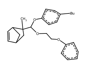 CCC(C)c1ccc(OC(OCCOc2ccccc2)C2(C)CC3C=CC2C3)cc1